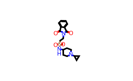 O=C1c2ccccc2C(=O)N1CCS(=O)(=O)NC1CCN(C2CC2)CC1